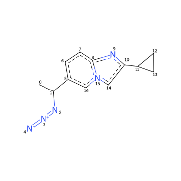 CC(N=[N+]=[N-])c1ccc2nc(C3CC3)cn2c1